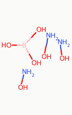 NO.NO.NO.OB(O)O